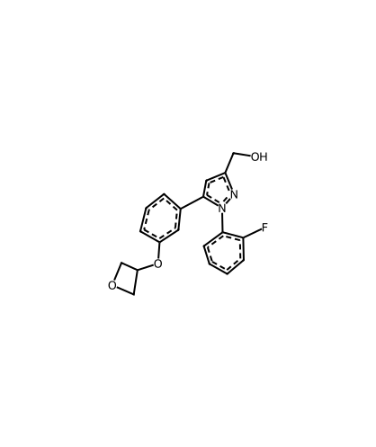 OCc1cc(-c2cccc(OC3COC3)c2)n(-c2ccccc2F)n1